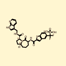 O=C(NC1CCC[C@H]2CC[C@@H](C(=O)NCc3c[nH]c4ncccc34)N2C1=O)c1cc2cc(C(F)(F)P(=O)(O)O)ccc2s1